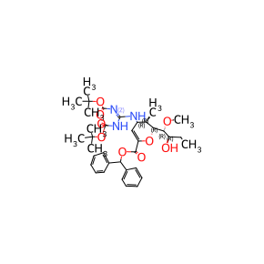 CC[C@@H](O)[C@@H](OC)[C@@H]1OC(C(=O)OC(c2ccccc2)c2ccccc2)=C[C@H](N/C(=N/C(=O)OC(C)(C)C)NC(=O)OC(C)(C)C)[C@H]1C